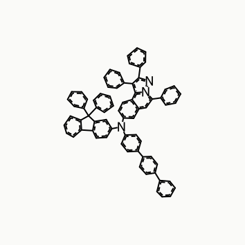 c1ccc(-c2ccc(-c3ccc(N(c4ccc5c(c4)C(c4ccccc4)(c4ccccc4)c4ccccc4-5)c4ccc5c(c4)cc(-c4ccccc4)n4nc(-c6ccccc6)c(-c6ccccc6)c54)cc3)cc2)cc1